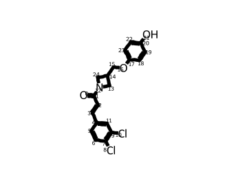 O=C(C=Cc1ccc(Cl)c(Cl)c1)N1CC(COc2ccc(O)cc2)C1